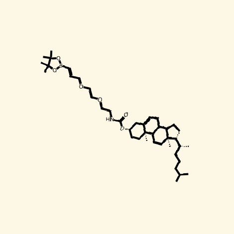 CC(C)CCC[C@@H](C)[C@H]1CCC2C3CC=C4C[C@@H](OC(=O)NCCOCCOC/C=C/B5OC(C)(C)C(C)(C)O5)CC[C@]4(C)C3CC[C@@]21C